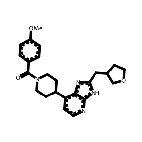 COc1ccc(C(=O)N2CCC(c3ccnc4[nH]c(CC5CCOC5)nc34)CC2)cc1